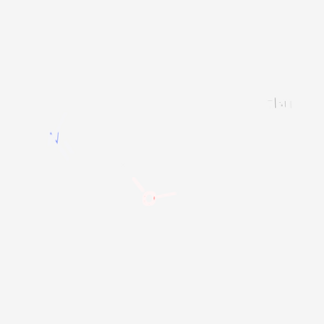 CC(C)(C)c1cccc(Oc2cccnc2)c1